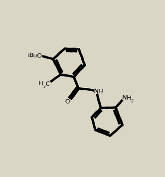 Cc1c(OCC(C)C)cccc1C(=O)Nc1ccccc1N